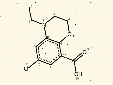 CCN1CCOc2c(C(=O)O)cc(Cl)cc21